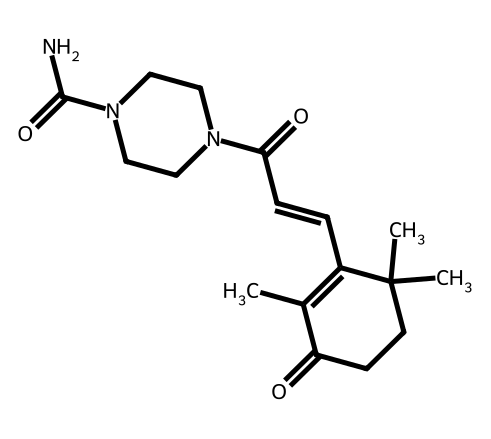 CC1=C(/C=C/C(=O)N2CCN(C(N)=O)CC2)C(C)(C)CCC1=O